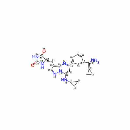 NC(=C1CC1)c1cccc(-c2cc(NC3CC3)n3ncc(/C=C4\NC(=O)NC4=O)c3n2)c1